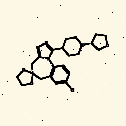 Clc1ccc2c(c1)CC1(Cc3nnc(C4CCN([C@@H]5CCOC5)CC4)n3-2)OCCO1